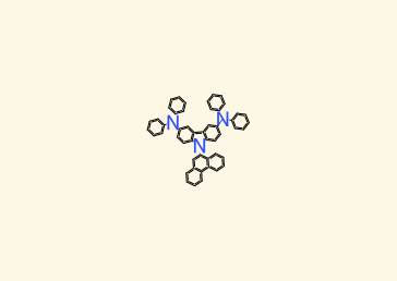 c1ccc(N(c2ccccc2)c2ccc3c(c2)c2cc(N(c4ccccc4)c4ccccc4)ccc2n3-c2cc3ccccc3c3ccccc23)cc1